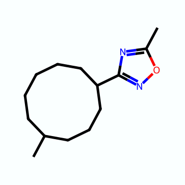 Cc1nc(C2CCCCCC(C)CCC2)no1